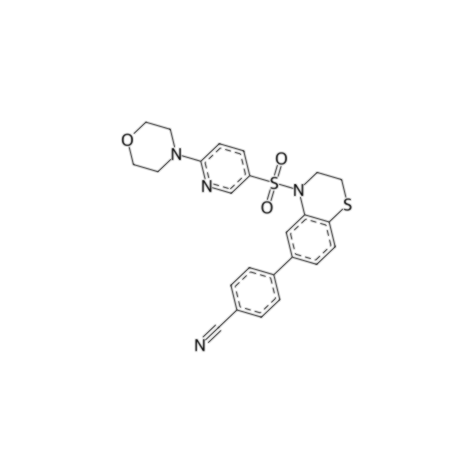 N#Cc1ccc(-c2ccc3c(c2)N(S(=O)(=O)c2ccc(N4CCOCC4)nc2)CCS3)cc1